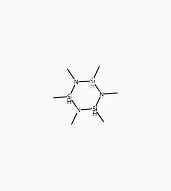 CN1[SiH](C)N(C)[SiH](C)N(C)[SiH]1C